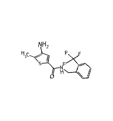 Cc1sc(C(=O)NCc2ccccc2C(F)(F)F)cc1N